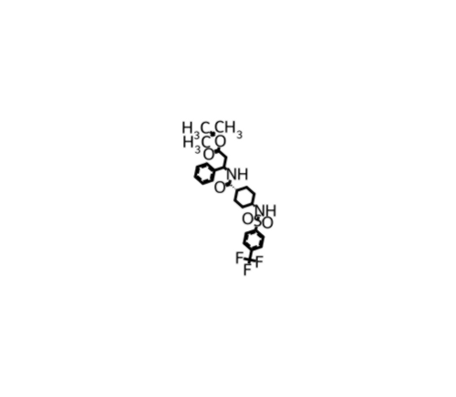 CC(C)(C)OC(=O)CC(NC(=O)[C@H]1CC[C@H](NS(=O)(=O)c2ccc(C(F)(F)F)cc2)CC1)c1ccccc1